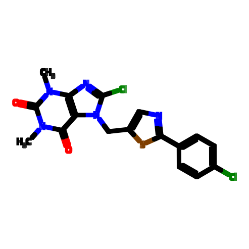 Cn1c(=O)c2c(nc(Cl)n2Cc2cnc(-c3ccc(Cl)cc3)s2)n(C)c1=O